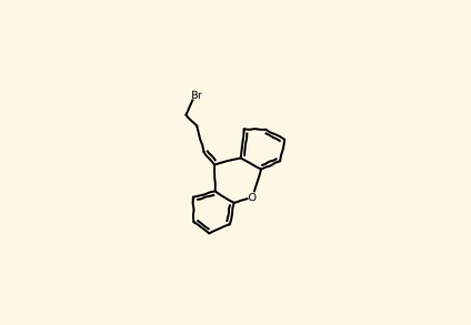 BrCCC=C1c2ccccc2Oc2ccccc21